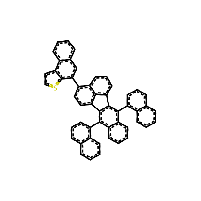 c1ccc2c(-c3c4c(c(-c5cccc6ccccc56)c5ccccc35)-c3ccc(-c5cc6ccccc6c6ccsc56)c5cccc-4c35)cccc2c1